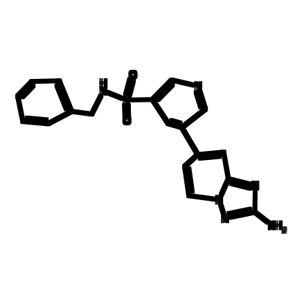 Nc1nc2cc(-c3cncc(S(=O)(=O)NCc4ccccc4)c3)ccn2n1